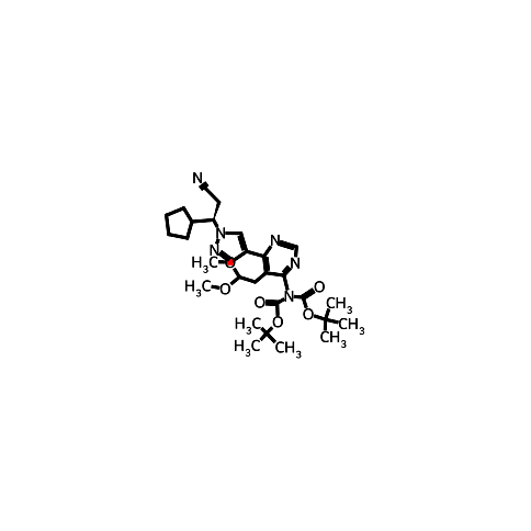 COC(Cc1c(-c2cnn([C@H](CC#N)C3CCCC3)c2)ncnc1N(C(=O)OC(C)(C)C)C(=O)OC(C)(C)C)OC